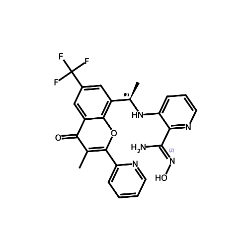 Cc1c(-c2ccccn2)oc2c([C@@H](C)Nc3cccnc3/C(N)=N/O)cc(C(F)(F)F)cc2c1=O